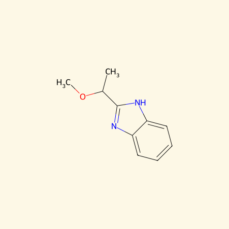 COC(C)c1nc2ccccc2[nH]1